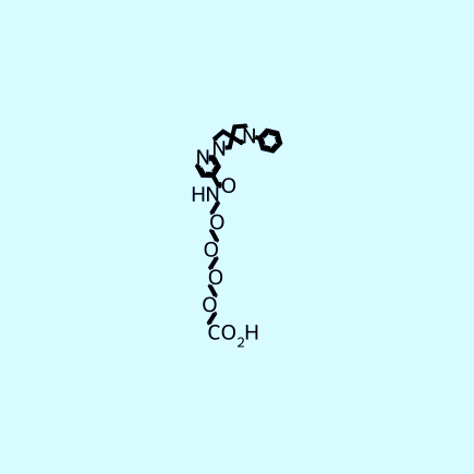 O=C(O)CCOCCOCCOCCOCCNC(=O)c1ccnc(N2CCC3(CCN(c4ccccc4)C3)C2)c1